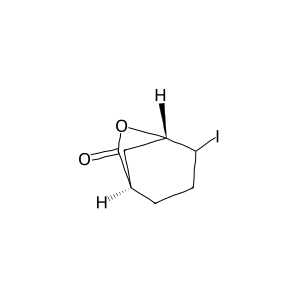 O=C1O[C@H]2C[C@H]1CCC2I